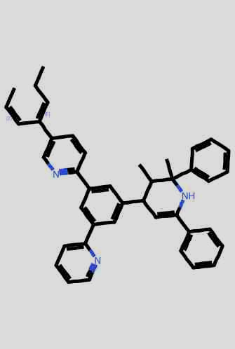 C/C=C\C(=C/CC)c1ccc(-c2cc(-c3ccccn3)cc(C3C=C(c4ccccc4)NC(C)(c4ccccc4)C3C)c2)nc1